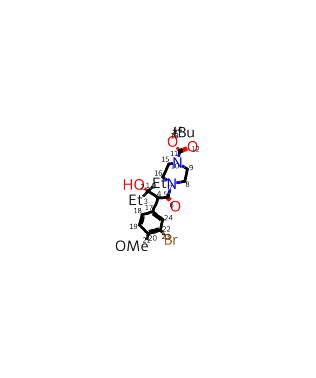 CCC(O)(CC)C(C(=O)N1CCN(C(=O)OC(C)(C)C)CC1)c1ccc(OC)c(Br)c1